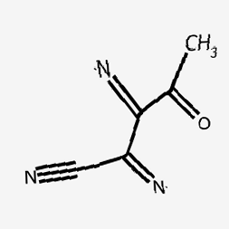 CC(=O)C(=[N])C(=[N])C#N